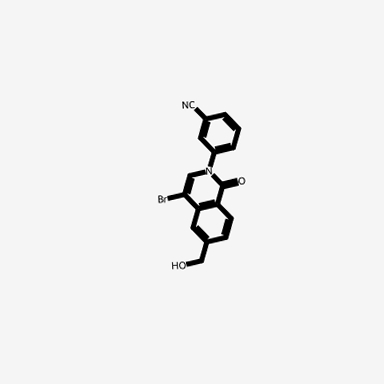 N#Cc1cccc(-n2cc(Br)c3cc(CO)ccc3c2=O)c1